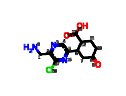 NCc1ncc(C2CC(=O)CCC2C(=O)O)nc1Cl